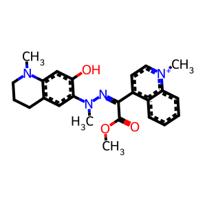 COC(=O)/C(=N\N(C)c1cc2c(cc1O)N(C)CCC2)c1cc[n+](C)c2ccccc12